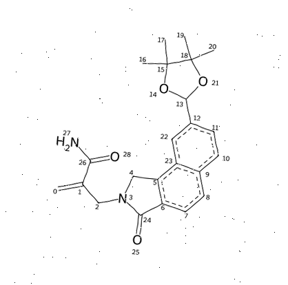 C=C(CN1Cc2c(ccc3ccc(C4OC(C)(C)C(C)(C)O4)cc23)C1=O)C(N)=O